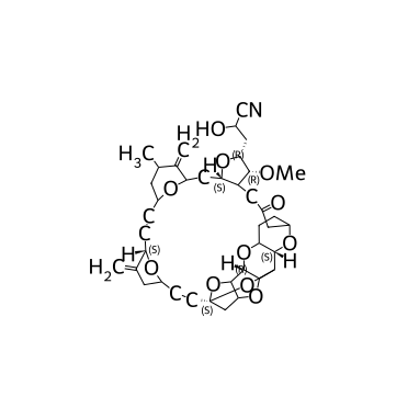 C=C1C(C)CC2CC[C@@H]3OC(CC[C@@]45CC6OC7C(O4)[C@H]4OC(CCC4O[C@H]7C6O5)CC(=O)CC4[C@H](CC1O2)O[C@H](CC(O)C#N)[C@@H]4OC)CC3=C